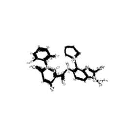 CC(C)c1nc2c(N3CCCC3)c(NC(=O)c3nn(-c4c(F)cccc4F)c(=O)cc3Cl)ccc2n1C